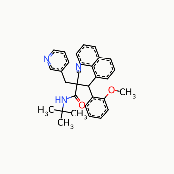 COc1ccccc1C(c1cccc2ccccc12)C(C#N)(Cc1cccnc1)C(=O)NC(C)(C)C